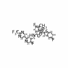 C[C@H]1[C@H](F)C[C@@H](C(=O)NCc2cc(-c3cnc(C(F)(F)F)nc3)ncc2F)N1S(=O)(=O)c1cc2cc(F)ccc2s1